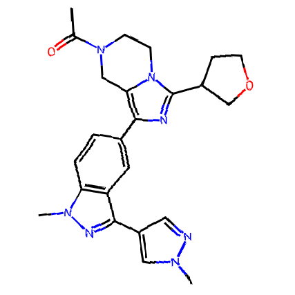 CC(=O)N1CCn2c(C3CCOC3)nc(-c3ccc4c(c3)c(-c3cnn(C)c3)nn4C)c2C1